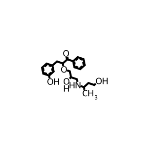 CC(CCO)NCC(O)COC(Cc1cccc(O)c1)C(=O)c1ccccc1